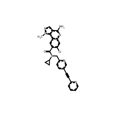 Cn1ncc2c(N)nc3cc(Cl)c(C(=O)N(Cc4ccc(C#Cc5ccccn5)cn4)C4CC4)cc3c21